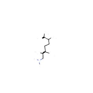 C=C(C)C(C)CC/C(C)=C(\C)CN(CC)CC